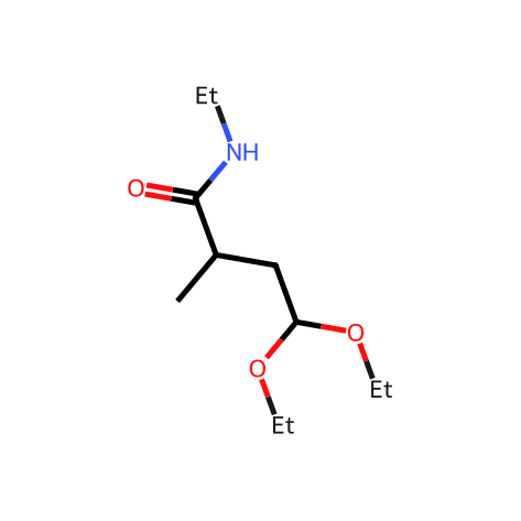 CCNC(=O)C(C)CC(OCC)OCC